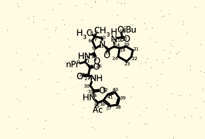 CCCC(NC(=O)[C@@H]1CC(C)(C)CN1C(=O)[C@@H](NC(=O)OCC(C)C)C1CCCCC1)C(=O)C(=O)NCC(=O)N[C@H](C(C)=O)c1ccccc1